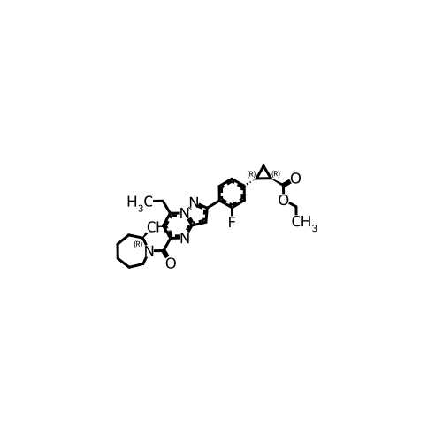 CCOC(=O)[C@@H]1C[C@H]1c1ccc(-c2cc3nc(C(=O)N4CCCCC[C@H]4C)cc(CC)n3n2)c(F)c1